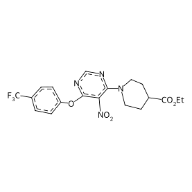 CCOC(=O)C1CCN(c2ncnc(Oc3ccc(C(F)(F)F)cc3)c2[N+](=O)[O-])CC1